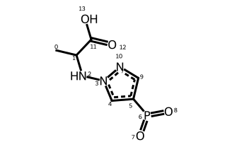 CC(Nn1cc(P(=O)=O)cn1)C(=O)O